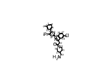 Cc1cccc(-c2nc(-n3nc(CC(=O)N4CCC(CN)CC4)c4cc(Cl)ccc43)sc2C(C)C)c1